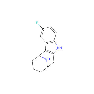 Fc1ccc2[nH]c3c(c2c1)C1CCCC(C3)N1